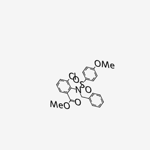 COC(=O)c1cccc(Cl)c1N(Cc1ccccc1)S(=O)(=O)c1ccc(OC)cc1